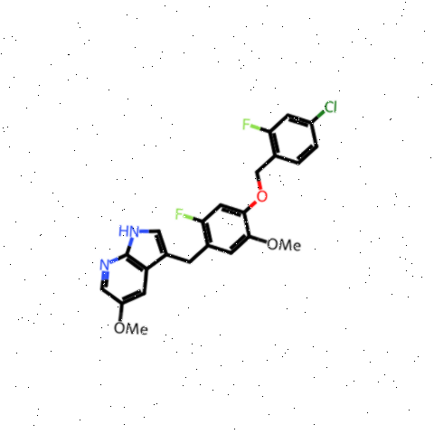 COc1cnc2[nH]cc(Cc3cc(OC)c(OCc4ccc(Cl)cc4F)cc3F)c2c1